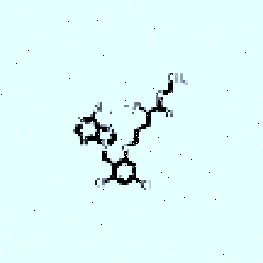 CCOC(=O)[C@H](N)CCCOc1cc(Cl)cc(Cl)c1Cn1cnc2c(N)ncnc21